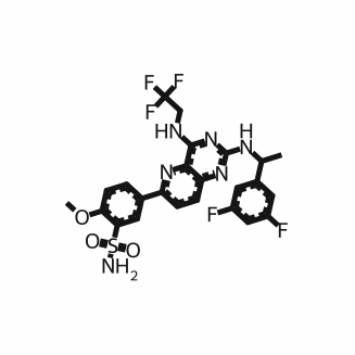 COc1ccc(-c2ccc3nc(NC(C)c4cc(F)cc(F)c4)nc(NCC(F)(F)F)c3n2)cc1S(N)(=O)=O